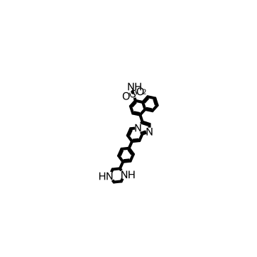 NS(=O)(=O)c1ccc(-c2cnc3cc(-c4ccc(C5CNCCN5)cc4)ccn23)c2ccccc12